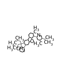 Cc1cc(-c2c(C)ccc3c2oc2cc4c(cc23)C(CC(C)C)(CC(C)C)c2ccccc2-4)ncc1C(C)C